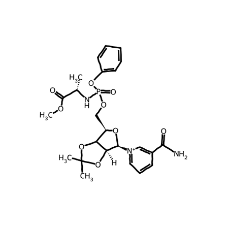 COC(=O)[C@H](C)NP(=O)(OC[C@H]1O[C@@H]([n+]2cccc(C(N)=O)c2)[C@H]2OC(C)(C)OC12)Oc1ccccc1